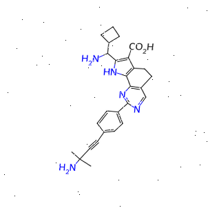 CC(C)(N)C#Cc1ccc(-c2ncc3c(n2)-c2[nH]c(C(N)C4CCC4)c(C(=O)O)c2CC3)cc1